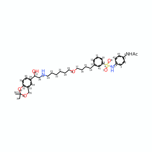 CC(=O)Nc1ccc(NS(=O)(=O)c2cccc(CCCCOCCCCCCNCC(O)c3ccc4c(c3)COC(C)(C)O4)c2)cc1